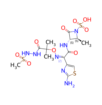 C[C@H]1[C@H](NC(=O)/C(=N\OC(C)(C)C(=O)NNS(C)(=O)=O)c2csc(N)n2)C(=O)N1S(=O)(=O)O